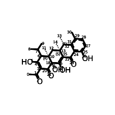 CC(=O)C1=C(O)C(C(C)C)[C@@]2(C)C[C@]3(C)C(=C(O)[C@@]2(O)C1=O)C(=O)c1c(O)ccc(C)c1[C@H]3C